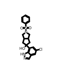 O=S(=O)(c1ccccc1)N1CC2CC(O)(c3cc(Cl)cc4cn[nH]c34)CC2C1